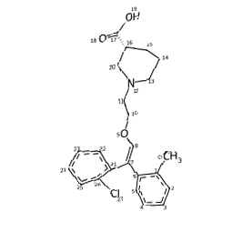 Cc1ccccc1C(=COCCN1CCC[C@@H](C(=O)O)C1)c1ccccc1Cl